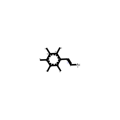 CC(=O)/C=C/c1c(C)c(C)c(C)c(C)c1C